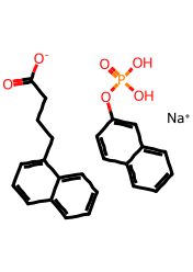 O=C([O-])CCCc1cccc2ccccc12.O=P(O)(O)Oc1ccc2ccccc2c1.[Na+]